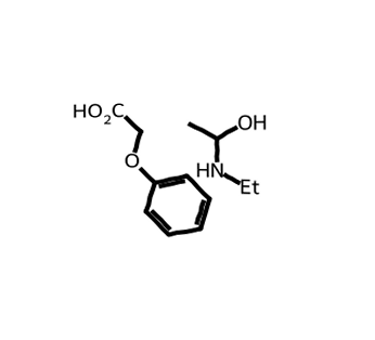 CCNC(C)O.O=C(O)COc1ccccc1